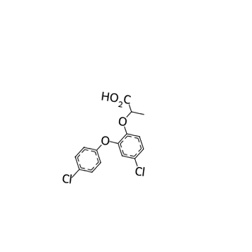 CC(Oc1ccc(Cl)cc1Oc1ccc(Cl)cc1)C(=O)O